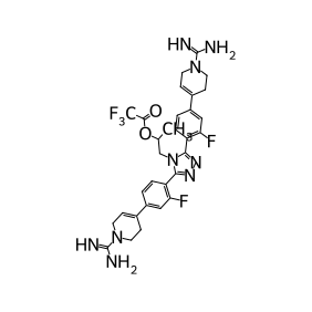 CC(Cn1c(-c2ccc(C3=CCN(C(=N)N)CC3)cc2F)nnc1-c1ccc(C2=CCN(C(=N)N)CC2)cc1F)OC(=O)C(F)(F)F